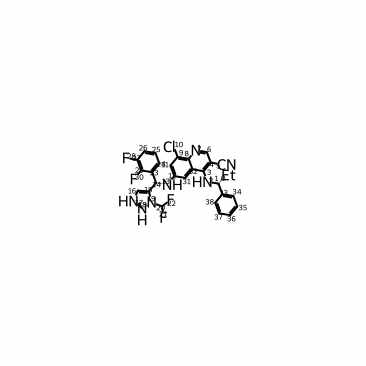 CC[C@@H](Nc1c(C#N)cnc2c(Cl)cc(N[C@H](C3=CNNN3C(F)F)c3cccc(F)c3F)cc12)c1ccccc1